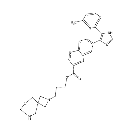 Cc1cccc(-c2[nH]cnc2-c2ccc3ncc(C(=O)OCCCN4CC5(CCCNC5)C4)cc3c2)n1